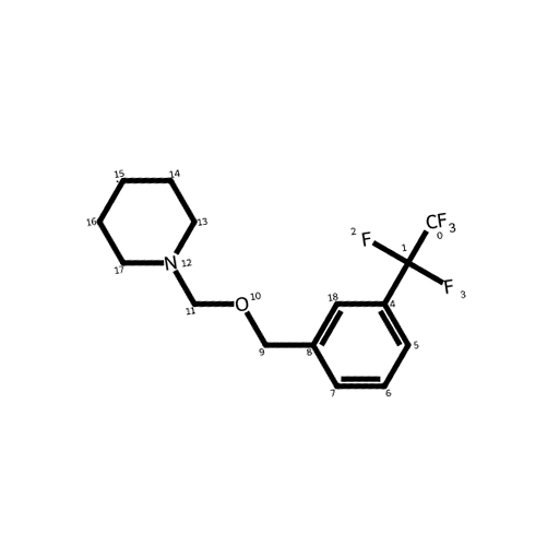 FC(F)(F)C(F)(F)c1cccc(COCN2CC[CH]CC2)c1